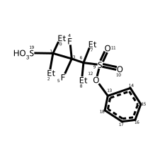 CCC(CC)(C(F)(F)C(CC)(CC)S(=O)(=O)Oc1ccccc1)S(=O)(=O)O